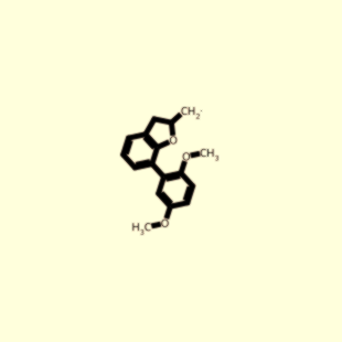 [CH2]C1Cc2cccc(-c3cc(OC)ccc3OC)c2O1